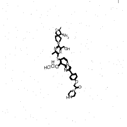 Cc1nc(N2CCC3(CC2)CO[C@@H](C)[C@H]3N)c(CO)nc1Sc1ccn2cc(-c3ccc(OCC(=O)N4CCNCC4)cc3)nc2c1Cl.Cl.Cl